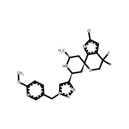 COc1ccc(Cn2cc([C@@H]3C[C@]4(C[C@H](C)N3)OCC(F)(F)c3cc(Cl)sc34)nn2)cn1